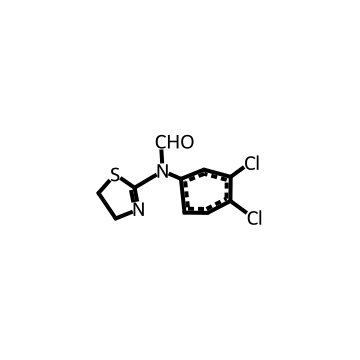 O=CN(C1=NCCS1)c1ccc(Cl)c(Cl)c1